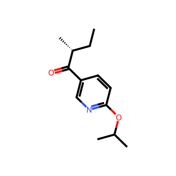 CC[C@@H](C)C(=O)c1ccc(OC(C)C)nc1